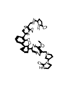 COc1nc(-c2cccc(-c3cccc(-c4cnc(CN5CCC(N6CCNC6=O)C5)c(OC)n4)c3Cl)c2Cl)cnc1CNCC1CCC(=O)N1